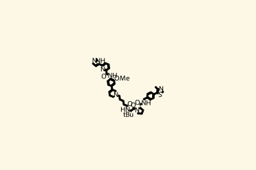 COc1cc(C2=CCCN(CCCCC(=O)N[C@H](C(=O)N3CCC[C@H]3C(=O)NCc3ccc(-c4scnc4C)cc3)C(C)(C)C)C2)ccc1NC(=O)c1cccc(-c2ccn[nH]2)n1